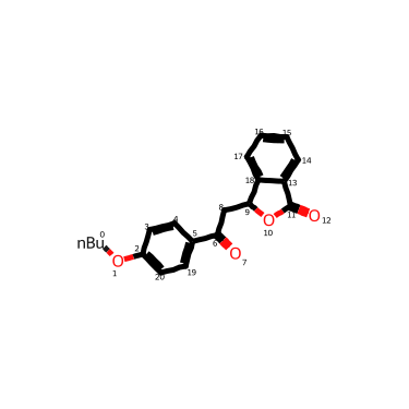 CCCCOc1ccc(C(=O)CC2OC(=O)c3ccccc32)cc1